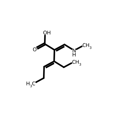 CC/C=C(CC)/C(=C\NC)C(=O)O